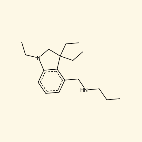 CCCNCc1cccc2c1C(CC)(CC)CN2CC